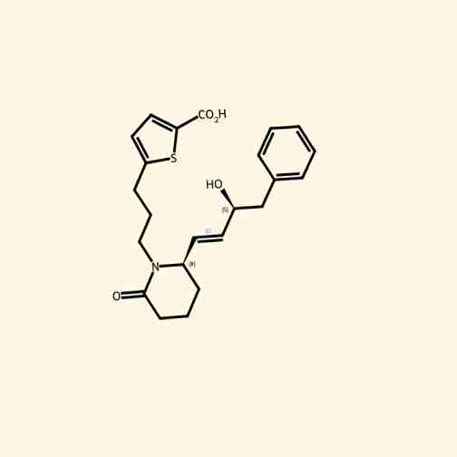 O=C(O)c1ccc(CCCN2C(=O)CCC[C@@H]2/C=C/[C@@H](O)Cc2ccccc2)s1